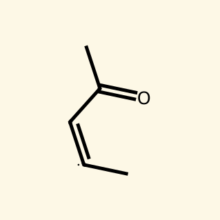 C/[C]=C\C(C)=O